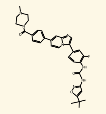 CN1CCN(C(=O)c2ccc(-c3ccn4c(-c5ccc(NC(=O)Nc6cc(C(C)(C)C)on6)c(F)c5)cnc4c3)cc2)CC1